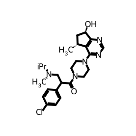 CC(C)N(C)CC(C(=O)N1CCN(c2ncnc3c2[C@H](C)C[C@H]3O)CC1)c1ccc(Cl)cc1